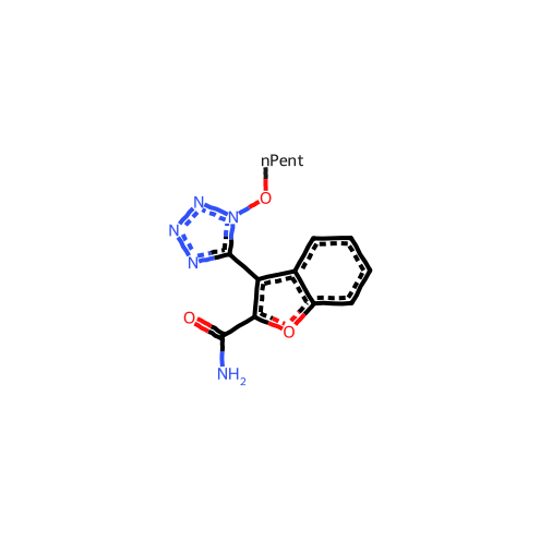 CCCCCOn1nnnc1-c1c(C(N)=O)oc2ccccc12